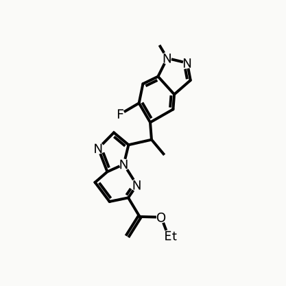 C=C(OCC)c1ccc2ncc(C(C)c3cc4cnn(C)c4cc3F)n2n1